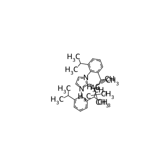 C#[C][Au](=[c]1n(-c2c(C(C)C)cccc2C(C)C)ccn1-c1c(C(C)C)cccc1C(C)C)[C](C)(C)C